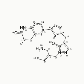 CN1Cc2cc(-c3ccc(Cn4cnn(C/C(=C/F)CN)c4=O)s3)ccc2NC1=O